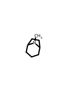 CN1C2[CH]CCC1CC2